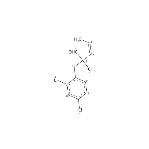 C/C=C\C(C)(C=O)Cc1ccc(Cl)cc1Cl